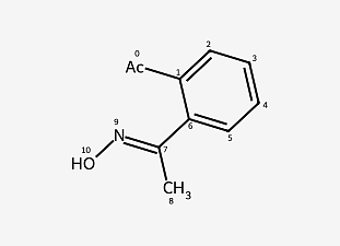 CC(=O)c1ccccc1C(C)=NO